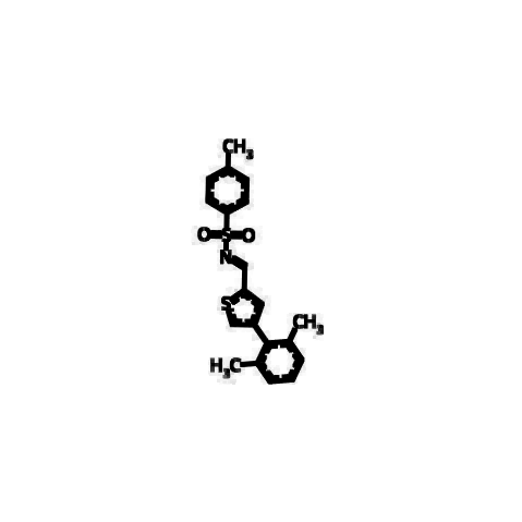 Cc1ccc(S(=O)(=O)/N=C/c2cc(-c3c(C)cccc3C)cs2)cc1